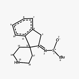 CC(C)(C)[S+]([O-])/N=C1\Cc2ccccc2C12CCNCC2